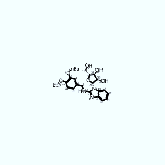 CCCCOc1cc(CNc2nc3ccccc3n2[C@@H]2O[C@H](CO)[C@@H](O)[C@H]2O)ccc1OCC